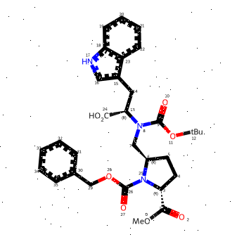 COC(=O)[C@H]1CC[C@H](CN(C(=O)OC(C)(C)C)[C@H](Cc2c[nH]c3ccccc23)C(=O)O)N1C(=O)OCc1ccccc1